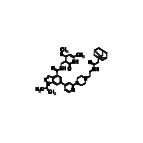 CSc1cc(C)[nH]c(=O)c1CNC(=O)c1cc(-c2ccnc(N3CCN(CCNC(=O)CC45CC6CC(CC(C6)C4)C5)CC3)c2)cc2c1cnn2C(C)C